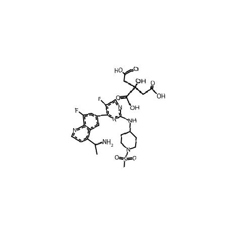 CC(N)c1ccnc2c(F)cc(-c3nc(NC4CCN(S(C)(=O)=O)CC4)ncc3F)cc12.O=C(O)CC(O)(CC(=O)O)C(=O)O